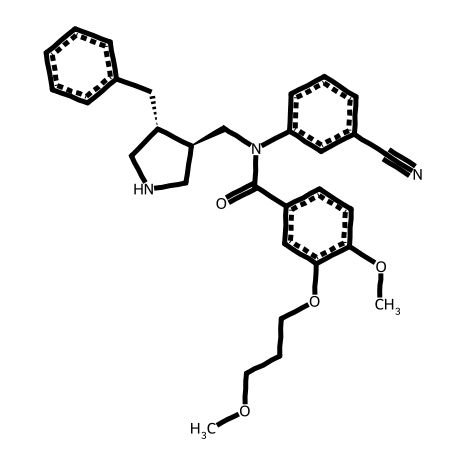 COCCCOc1cc(C(=O)N(C[C@H]2CNC[C@@H]2Cc2ccccc2)c2cccc(C#N)c2)ccc1OC